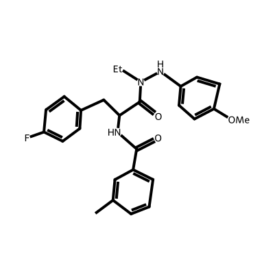 CCN(Nc1ccc(OC)cc1)C(=O)C(Cc1ccc(F)cc1)NC(=O)c1cccc(C)c1